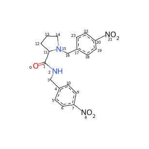 O=C(NCc1ccc([N+](=O)[O-])cc1)C1CCCN1Cc1ccc([N+](=O)[O-])cc1